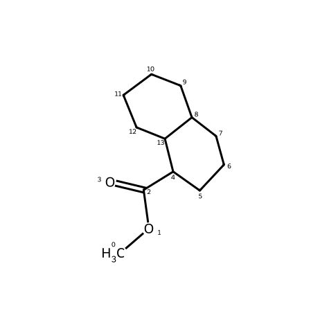 COC(=O)C1CCCC2CCCCC21